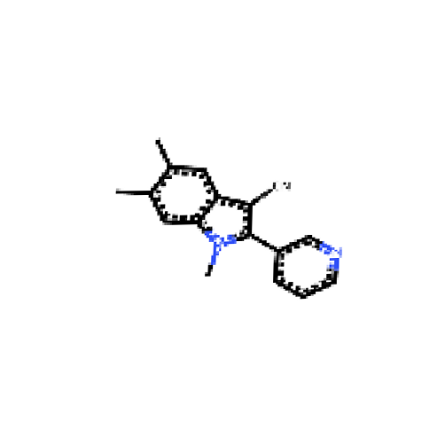 Cc1cc2c(C#N)c(-c3cccnc3)n(C)c2cc1C